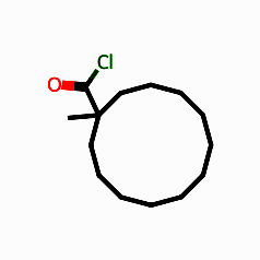 CC1(C(=O)Cl)CCCCCCCCCCC1